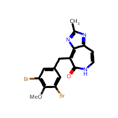 COc1c(Br)cc(Cc2c3nc(C)nc-3cc[nH]c2=O)cc1Br